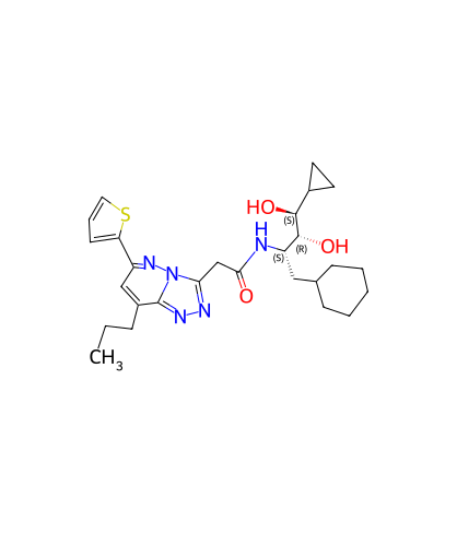 CCCc1cc(-c2cccs2)nn2c(CC(=O)N[C@@H](CC3CCCCC3)[C@@H](O)[C@@H](O)C3CC3)nnc12